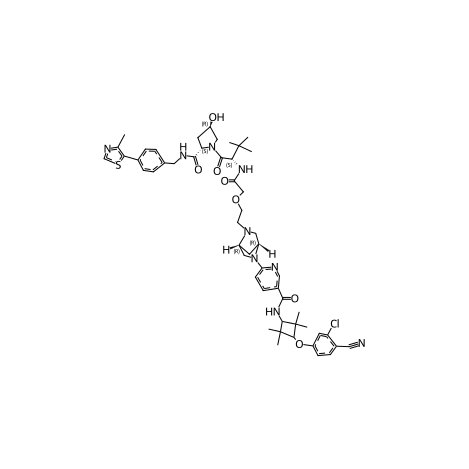 Cc1ncsc1-c1ccc(CNC(=O)[C@@H]2C[C@@H](O)CN2C(=O)[C@@H](NC(=O)COCCN2C[C@H]3C[C@@H]2CN3c2ccc(C(=O)NC3C(C)(C)C(Oc4ccc(C#N)c(Cl)c4)C3(C)C)cn2)C(C)(C)C)cc1